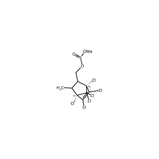 COS(=O)OCC1C(C)[C@]2(Cl)C(Cl)=C(Cl)[C@@]1(Cl)C2(Cl)Cl